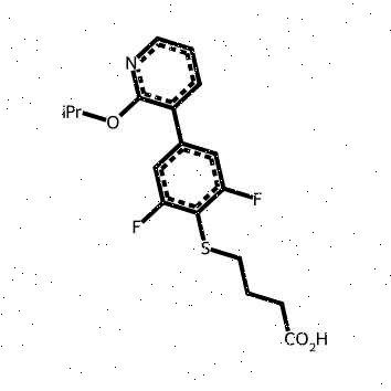 CC(C)Oc1ncccc1-c1cc(F)c(SCCCC(=O)O)c(F)c1